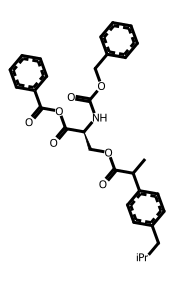 CC(C)Cc1ccc(C(C)C(=O)OC[C@H](NC(=O)OCc2ccccc2)C(=O)OC(=O)c2ccccc2)cc1